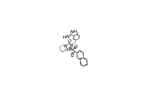 N=C(N)c1cccc(CN(NS(=O)(=O)c2ccc3ccccc3c2)C(=O)N2CCCCC2)c1